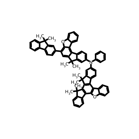 CC1(C)c2ccccc2-c2ccc(-c3cc4c(c5c3oc3ccccc35)-c3ccc(N(c5ccccc5)c5ccc6c(c5)C(C)(C)c5c7c(c8oc9ccccc9c8c5-6)-c5ccccc5C7(C)C)cc3C4(C)C)cc21